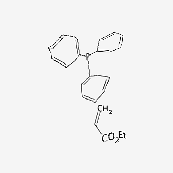 C=CC(=O)OCC.c1ccc(P(c2ccccc2)c2ccccc2)cc1